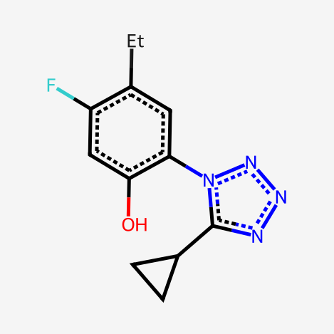 CCc1cc(-n2nnnc2C2CC2)c(O)cc1F